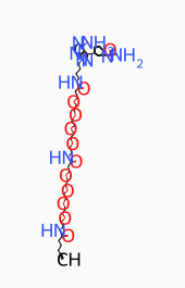 C#CCCCC(=O)NCCOCCOCCOCCOCCC(=O)NCCOCCOCCOCCOCCC(=O)NCCCCn1nc(-c2ccc3oc(N)nc3c2)c2c(N)ncnc21